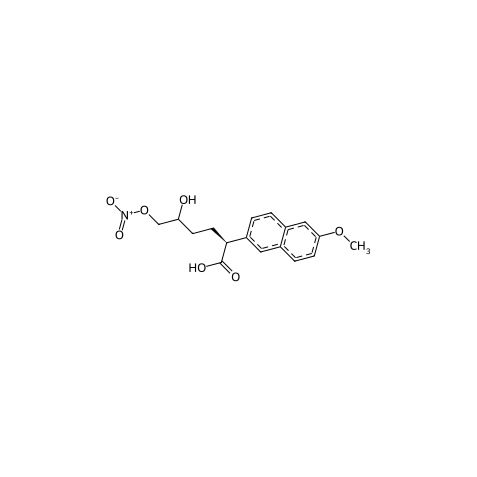 COc1ccc2cc([C@H](CCC(O)CO[N+](=O)[O-])C(=O)O)ccc2c1